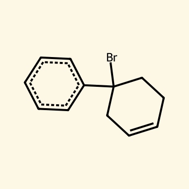 BrC1(c2ccccc2)CC=CCC1